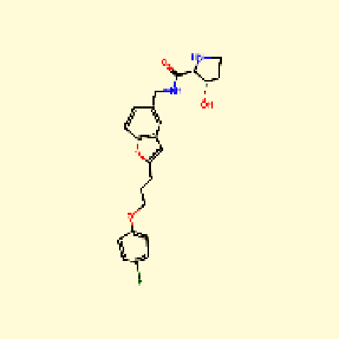 O=C(NCc1ccc2oc(CCCOc3ccc(F)cc3)cc2c1)[C@H]1NCC[C@@H]1O